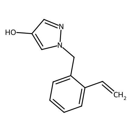 C=Cc1ccccc1Cn1cc(O)cn1